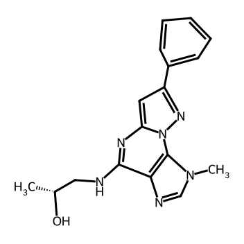 C[C@@H](O)CNc1nc2cc(-c3ccccc3)nn2c2c1ncn2C